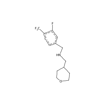 Fc1cc(CNCC2CCOCC2)ccc1C(F)(F)F